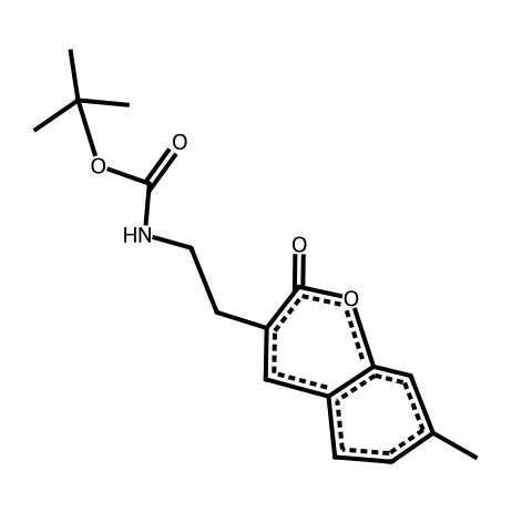 Cc1ccc2cc(CCNC(=O)OC(C)(C)C)c(=O)oc2c1